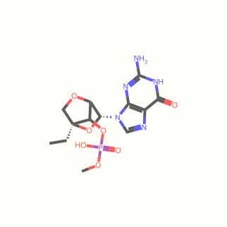 CC[C@]12COC(C1OP(=O)(O)OC)[C@H](n1cnc3c(=O)[nH]c(N)nc31)O2